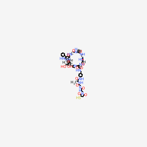 CC[C@H](C)[C@@H]1NC(=O)CNC(=O)[C@@H](Cc2c(SC)[nH]c3ccccc23)NC(=O)[C@H]([C@@H](C)[C@@H](O)CO)CC2CCN2C(=O)[C@H](CC(=O)NCc2ccc(NC(=O)[C@H](C)NC(=O)CNC(=O)CCN3C(=O)CC(S)C3=O)cc2)NC(=O)[C@@H]2C=C(CNC1=O)N2